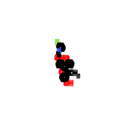 CC1=C(c2cccc(O)c2)C(c2ccc(OCCN3CCC[C@@H](F)C3)cc2)Oc2ccc(O)cc21